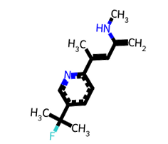 C=C(/C=C(\C)c1ccc(C(C)(C)F)cn1)NC